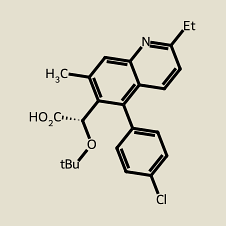 CCc1ccc2c(-c3ccc(Cl)cc3)c([C@H](OC(C)(C)C)C(=O)O)c(C)cc2n1